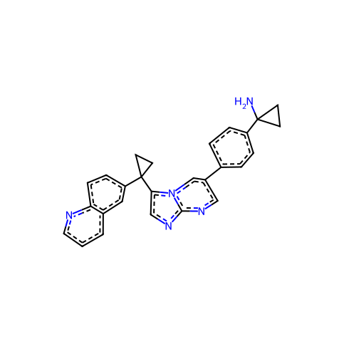 NC1(c2ccc(-c3cnc4ncc(C5(c6ccc7ncccc7c6)CC5)n4c3)cc2)CC1